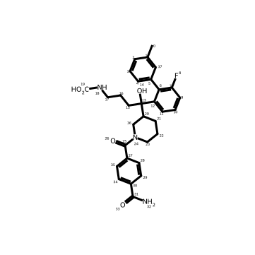 Cc1cccc(-c2c(F)cccc2C(O)(CCCNC(=O)O)C2CCCN(C(=O)c3ccc(C(N)=O)cc3)C2)c1